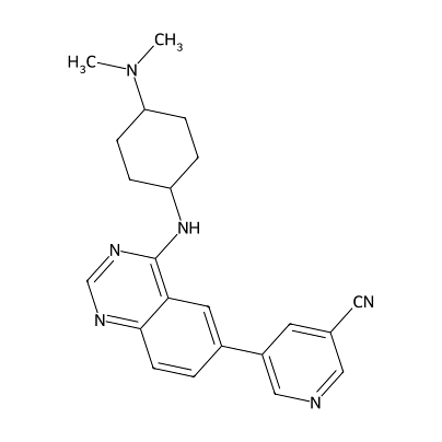 CN(C)C1CCC(Nc2ncnc3ccc(-c4cncc(C#N)c4)cc23)CC1